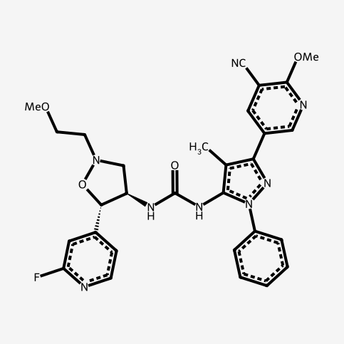 COCCN1C[C@@H](NC(=O)Nc2c(C)c(-c3cnc(OC)c(C#N)c3)nn2-c2ccccc2)[C@H](c2ccnc(F)c2)O1